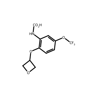 O=C(O)Nc1cc(OC(F)(F)F)ccc1OC1COC1